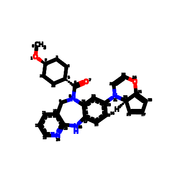 CO[C@H]1CC[C@H](C(=O)N2Cc3cccnc3Nc3ccc(N4C=COC5=CC=C[C@H]54)cc32)CC1